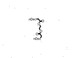 CCCCCCCCCCCC(=O)O[CH]COC(=O)CCCCCCCCCCC